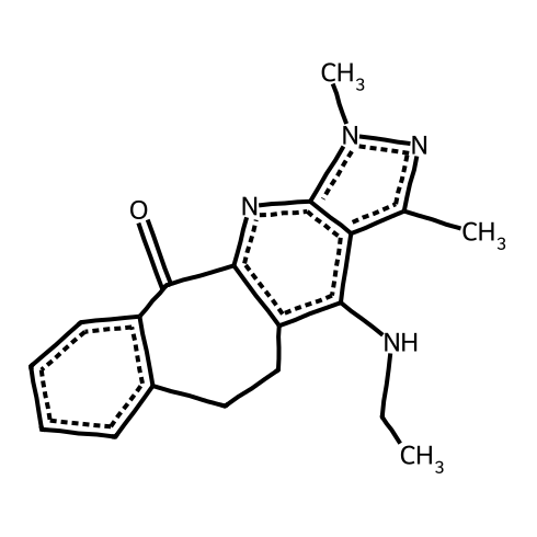 CCNc1c2c(nc3c1c(C)nn3C)C(=O)c1ccccc1CC2